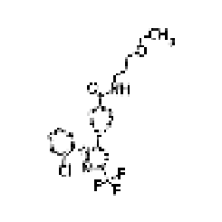 CCOCCCNC(=O)c1ccc(-c2cc(C(F)(F)F)nn2-c2ccccc2Cl)cc1